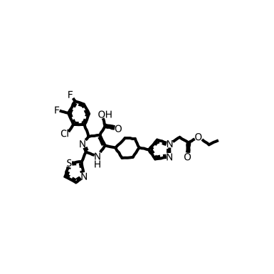 CCOC(=O)Cn1cc(C2CCC(C3=C(C(=O)O)C(c4ccc(F)c(F)c4Cl)N=C(c4nccs4)N3)CC2)cn1